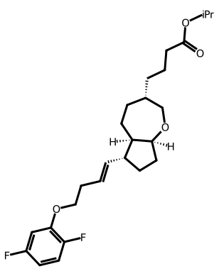 CC(C)OC(=O)CCC[C@H]1CC[C@H]2[C@H](CC[C@@H]2/C=C/CCOc2cc(F)ccc2F)OC1